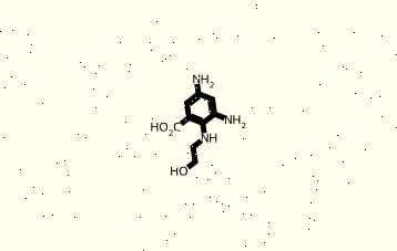 Nc1cc(N)c(NCCO)c(C(=O)O)c1